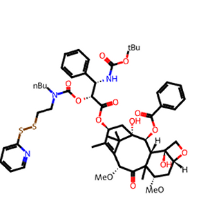 CCCCN(CCSSc1ccccn1)C(=O)O[C@@H](C(=O)O[C@H]1C[C@@]2(O)[C@@H](OC(=O)c3ccccc3)[C@H]3C(C)(C(=O)[C@H](OC)C(=C1C)C2(C)C)[C@@H](OC)C[C@H]1OC[C@]13O)[C@@H](NC(=O)OC(C)(C)C)c1ccccc1